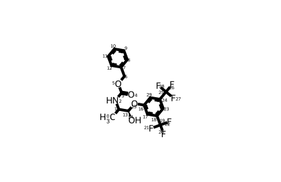 CC(NC(=O)OCc1ccccc1)[C@H](O)Oc1cc(C(F)(F)F)cc(C(F)(F)F)c1